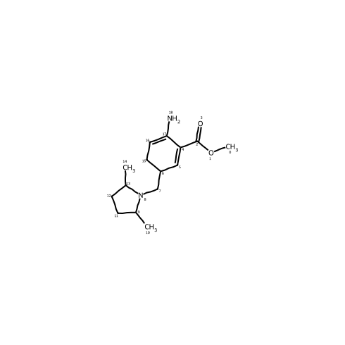 COC(=O)C1=CC(CN2C(C)CCC2C)CC=C1N